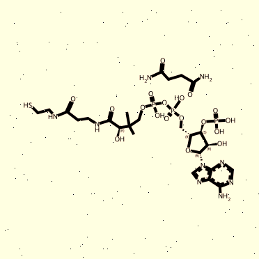 CC(C)(COP(=O)(O)OP(=O)(O)OC[C@H]1O[C@@H](n2cnc3c(N)ncnc32)[C@H](O)[C@@H]1OP(=O)(O)O)[C@@H](O)C(=O)NCCC(=O)NCCS.NC(=O)CCC(N)=O